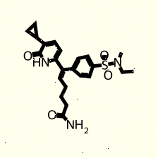 CCN(C)S(=O)(=O)c1ccc(/C(=C\CCCC(N)=O)c2ccc(C3CC3)c(=O)[nH]2)cc1